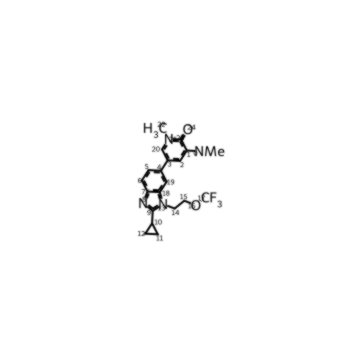 CNc1cc(-c2ccc3nc(C4CC4)n(CCOC(F)(F)F)c3c2)cn(C)c1=O